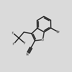 N#Cc1oc2c(Br)cccc2c1CC(F)(F)F